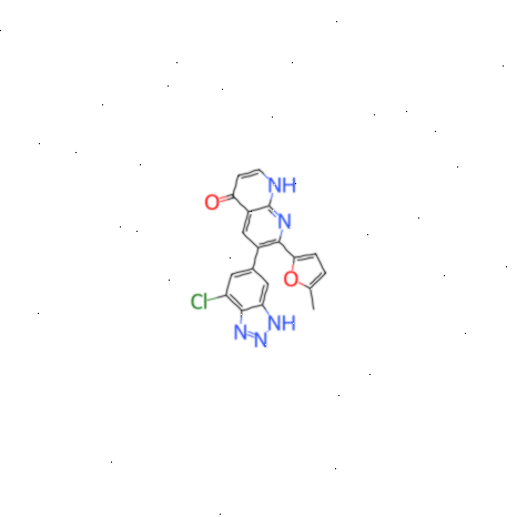 Cc1ccc(-c2nc3[nH]ccc(=O)c3cc2-c2cc(Cl)c3nn[nH]c3c2)o1